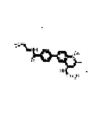 CC(=O)N1c2ccc(-c3ccc(C(=O)NCCO)cc3)cc2[C@H](NC(=O)O)C[C@@H]1C